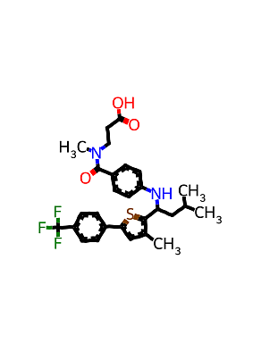 Cc1cc(-c2ccc(C(F)(F)F)cc2)sc1C(CC(C)C)Nc1ccc(C(=O)N(C)CCC(=O)O)cc1